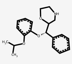 CC(C)Oc1ccccc1O[C@@H](c1ccccc1)C1CNCCO1